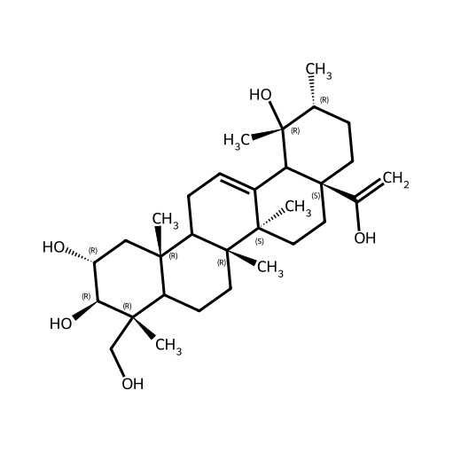 C=C(O)[C@]12CC[C@@H](C)[C@@](C)(O)C1C1=CCC3[C@@]4(C)C[C@@H](O)[C@H](O)[C@@](C)(CO)C4CC[C@@]3(C)[C@]1(C)CC2